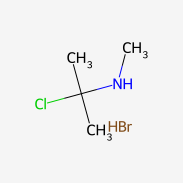 Br.CNC(C)(C)Cl